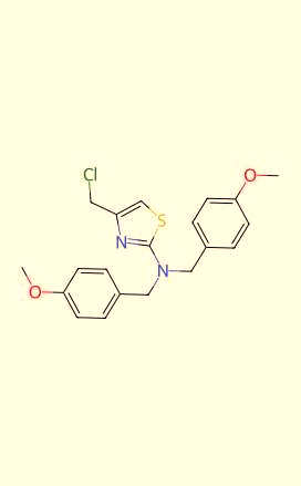 COc1ccc(CN(Cc2ccc(OC)cc2)c2nc(CCl)cs2)cc1